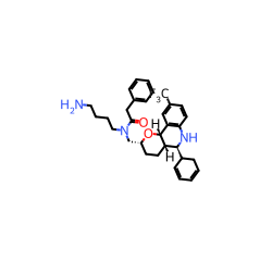 NCCCCN(C[C@H]1CC[C@@H]2[C@H](O1)c1cc(C(F)(F)F)ccc1N[C@H]2C1C=CC=CC1)C(=O)Cc1ccccc1